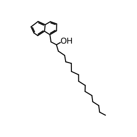 CCCCCCCCCCCCCCC(O)Cc1cccc2ccccc12